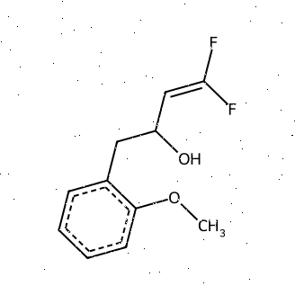 COc1ccccc1CC(O)C=C(F)F